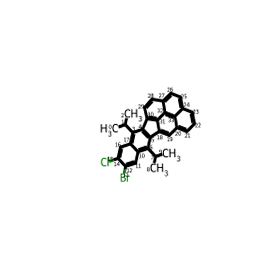 CC(C)c1c2c(c(C(C)C)c3cc(Br)c(Cl)cc13)-c1cc3cccc4ccc5ccc-2c1c5c43